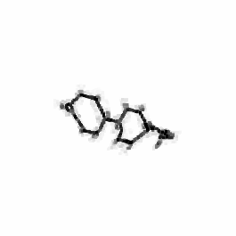 CC(C)(C)N1CCC(C2CCOCC2)CC1